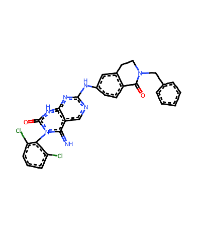 N=c1c2cnc(Nc3ccc4c(c3)CCN(Cc3ccccc3)C4=O)nc2[nH]c(=O)n1-c1c(Cl)cccc1Cl